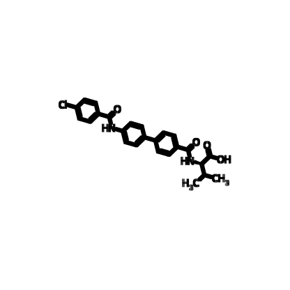 CC(C)[C@@H](NC(=O)c1ccc(-c2ccc(NC(=O)c3ccc(Cl)cc3)cc2)cc1)C(=O)O